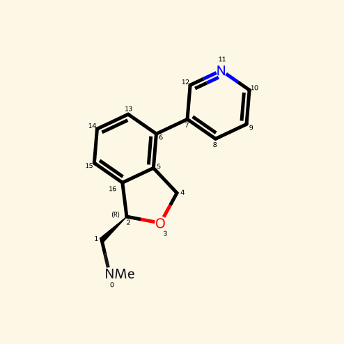 CNC[C@@H]1OCc2c(-c3cccnc3)cccc21